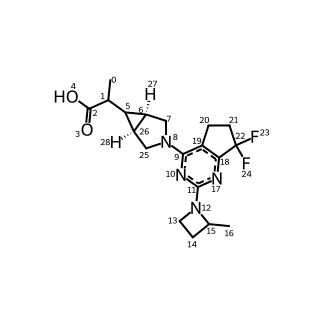 CC(C(=O)O)C1[C@H]2CN(c3nc(N4CCC4C)nc4c3CCC4(F)F)C[C@@H]12